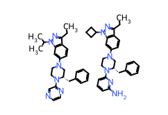 CCc1nn(C(C)C)c2cc(N3CCN(c4cnccn4)[C@@H](Cc4ccccc4)C3)ccc12.CCc1nn(C2CCC2)c2cc(N3CCN(c4cccc(N)n4)[C@@H](Cc4ccccc4)C3)ccc12